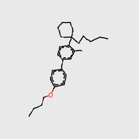 CCCCCC1(c2ccc(-c3ccc(OCCCC)cc3)cc2C)CCCCC1